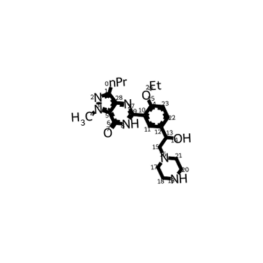 CCCc1nn(C)c2c(=O)[nH]c(-c3cc(C(O)CN4CCNCC4)ccc3OCC)nc12